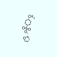 Cc1ccc(S(=O)(=O)OC[C@@H]2CC=CO2)cc1